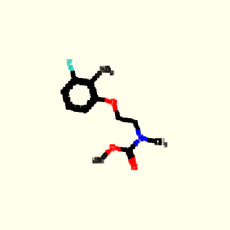 CN(CCOc1cccc(F)c1[N+](=O)[O-])C(=O)OC(C)(C)C